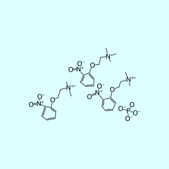 C[N+](C)(C)CCOc1ccccc1[N+](=O)[O-].C[N+](C)(C)CCOc1ccccc1[N+](=O)[O-].C[N+](C)(C)CCOc1ccccc1[N+](=O)[O-].O=P([O-])([O-])[O-]